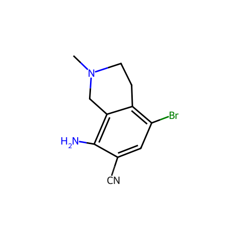 CN1CCc2c(Br)cc(C#N)c(N)c2C1